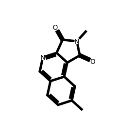 Cc1ccc2cnc3c(c2c1)C(=O)N(C)C3=O